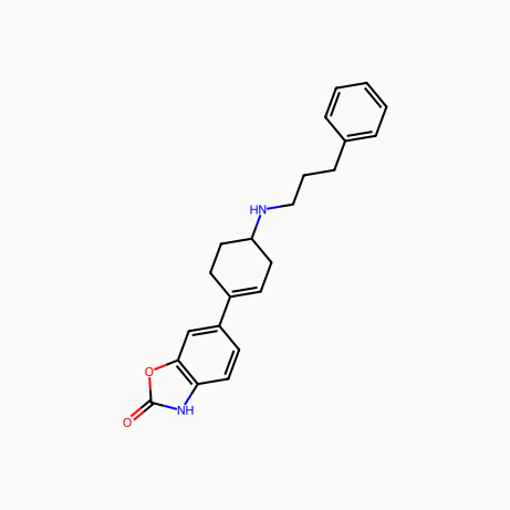 O=c1[nH]c2ccc(C3=CCC(NCCCc4ccccc4)CC3)cc2o1